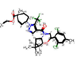 CCOC(=O)[C@]1(C)CC[C@@H](n2ncc(C(=O)N(CC(O)c3c(Cl)cc(C)cc3Cl)[C@@H]3C[C@@H]4[C@H](C3)C4(C)C)c2C(F)(F)F)CC1